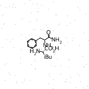 CC[C@H](C)[C@H](N)C(=O)O.NC(=O)[C@@H](N)Cc1ccccc1